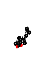 C1=CC(c2nc(-c3ccc(-c4cccc5c4oc4ccccc45)cc3)nc(-c3ccccc3-c3cccc4c3Oc3ccccc3C43c4ccccc4-c4ccccc43)n2)=CCC1